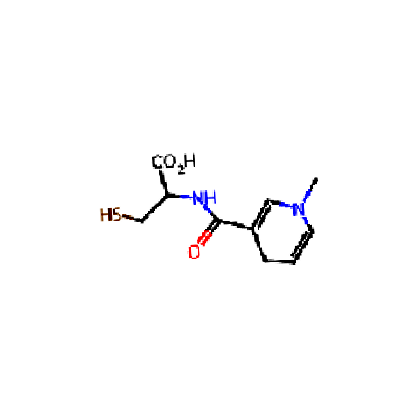 CN1C=CCC(C(=O)NC(CS)C(=O)O)=C1